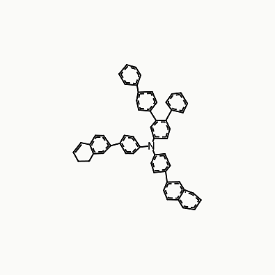 C1=Cc2ccc(-c3ccc(N(c4ccc(-c5ccc6ccccc6c5)cc4)c4ccc(-c5ccccc5)c(-c5ccc(-c6ccccc6)cc5)c4)cc3)cc2CC1